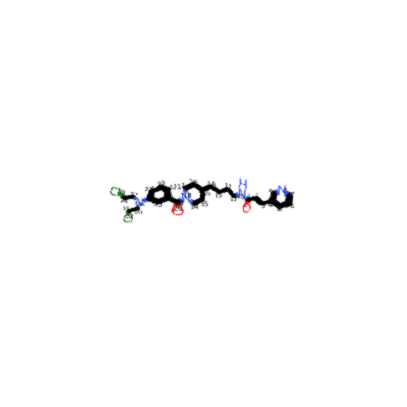 O=C(/C=C/c1cccnc1)NCCCCC1CCN(C(=O)c2cccc(N(CCCl)CCCl)c2)CC1